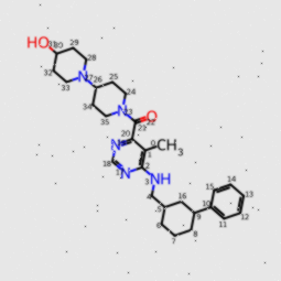 Cc1c(NCC2CCCC(c3ccccc3)C2)ncnc1C(=O)N1CCC(N2CCC(O)CC2)CC1